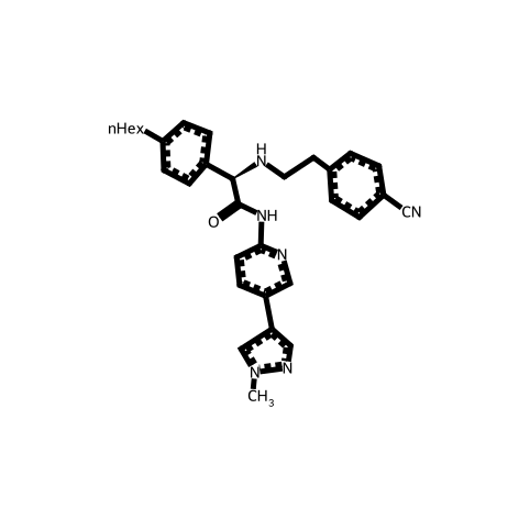 CCCCCCc1ccc([C@@H](NCCc2ccc(C#N)cc2)C(=O)Nc2ccc(-c3cnn(C)c3)cn2)cc1